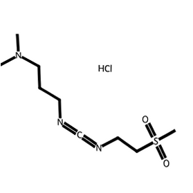 CN(C)CCCN=C=NCCS(C)(=O)=O.Cl